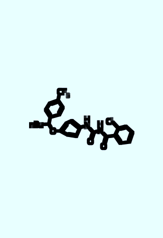 CCCCC(Oc1ccc(NC(=O)NC(=O)c2ccccc2Cl)cc1)c1ccc(C(F)(F)F)cc1